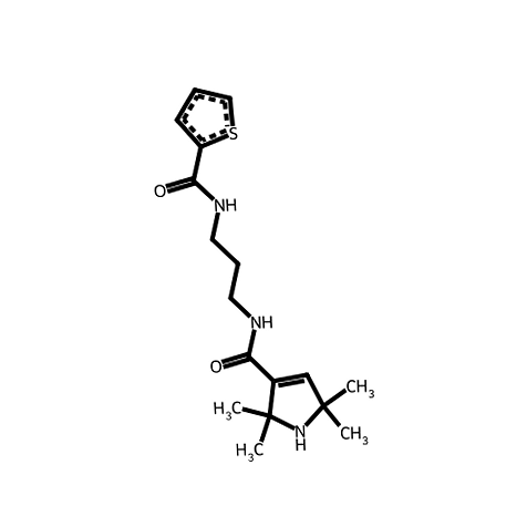 CC1(C)C=C(C(=O)NCCCNC(=O)c2cccs2)C(C)(C)N1